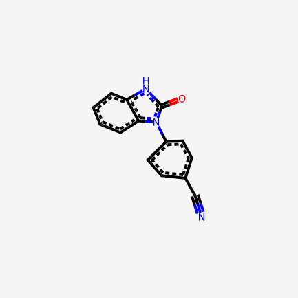 N#Cc1ccc(-n2c(=O)[nH]c3ccccc32)cc1